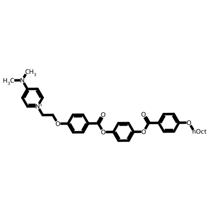 CCCCCCCCOc1ccc(C(=O)Oc2ccc(OC(=O)c3ccc(OCC[n+]4ccc(N(C)C)cc4)cc3)cc2)cc1